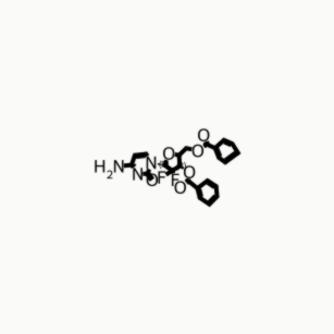 Nc1ccn([C@@H]2OC(COC(=O)c3ccccc3)[C@@H](OC(=O)c3ccccc3)C2(F)F)c(=O)n1